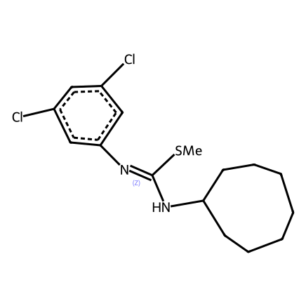 CS/C(=N\c1cc(Cl)cc(Cl)c1)NC1CCCCCCC1